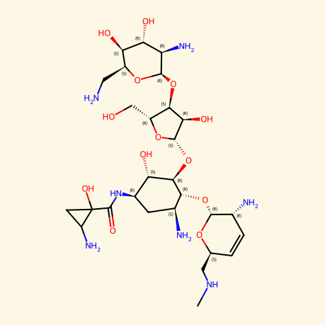 CNC[C@@H]1C=C[C@@H](N)[C@@H](O[C@H]2[C@H](O[C@@H]3O[C@H](CO)[C@@H](O[C@H]4O[C@@H](CN)[C@@H](O)[C@H](O)[C@H]4N)[C@H]3O)[C@@H](O)[C@H](NC(=O)C3(O)CC3N)C[C@@H]2N)O1